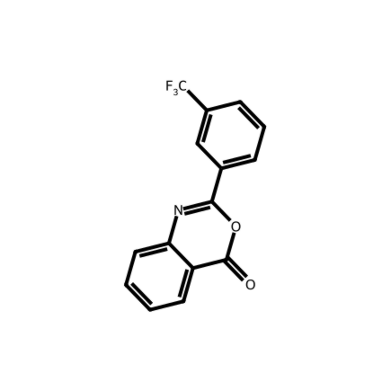 O=c1oc(-c2cccc(C(F)(F)F)c2)nc2ccccc12